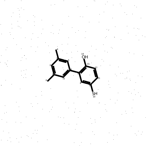 Cc1cc(C)cc(-c2cc(S)ccc2O)c1